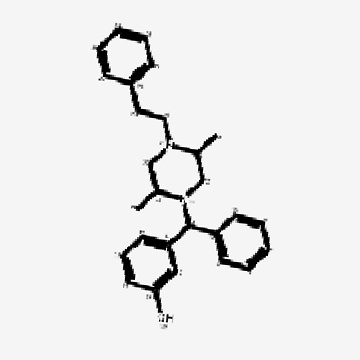 CC1CN(C(c2ccccc2)c2cccc(O)c2)C(C)CN1CCc1ccccc1